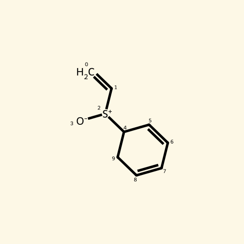 C=C[S+]([O-])C1C=CC=CC1